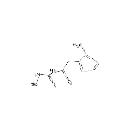 Cc1ccccc1CC(=O)NC(=S)NC(C)(C)C